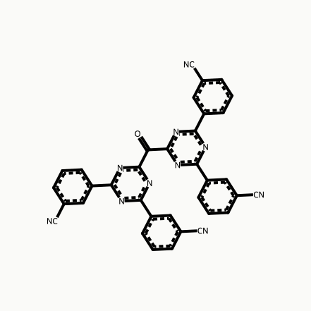 N#Cc1cccc(-c2nc(C(=O)c3nc(-c4cccc(C#N)c4)nc(-c4cccc(C#N)c4)n3)nc(-c3cccc(C#N)c3)n2)c1